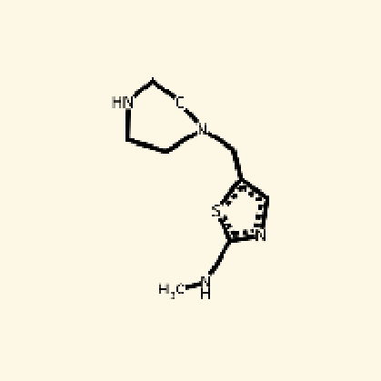 CNc1ncc(CN2CCNCC2)s1